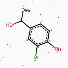 COC(O)c1ccc(O)c(Br)c1